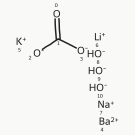 O=C([O-])[O-].[Ba+2].[K+].[Li+].[Na+].[OH-].[OH-].[OH-]